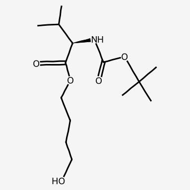 CC(C)[C@@H](NC(=O)OC(C)(C)C)C(=O)OCCCCO